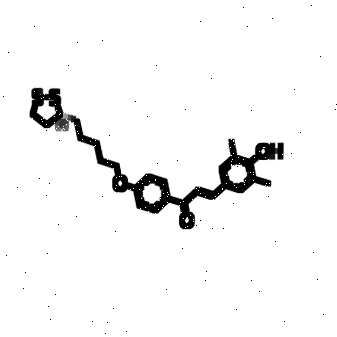 Cc1cc(C=CC(=O)c2ccc(OCCCCC[C@@H]3CCSS3)cc2)cc(C)c1O